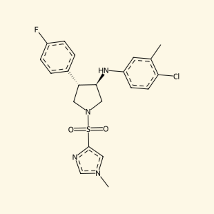 Cc1cc(N[C@H]2CN(S(=O)(=O)c3cn(C)cn3)C[C@@H]2c2ccc(F)cc2)ccc1Cl